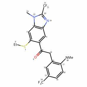 CCSc1cc2c(cc1C(=O)Cc1cc(C(F)(F)F)ccc1NC)nc(C(F)(F)F)n2C